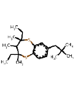 CCC1(C)Sc2ccc(CC(C)(C)C)cc2SC(C)(CC)C1C